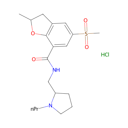 CCCN1CCCC1CNC(=O)c1cc(S(C)(=O)=O)cc2c1OC(C)C2.Cl